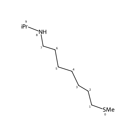 CSCCCCCCCNC(C)C